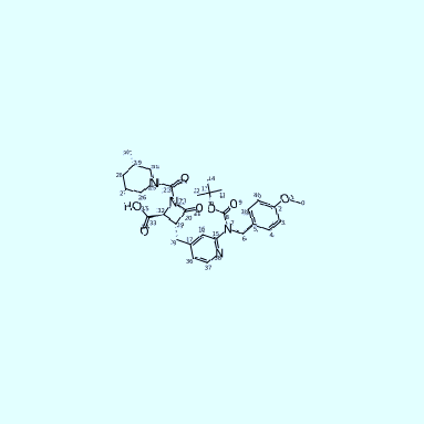 COc1ccc(CN(C(=O)OC(C)(C)C)c2cc(C[C@H]3C(=O)N(C(=O)N4CCC[C@H](C)C4)[C@@H]3C(=O)O)ccn2)cc1